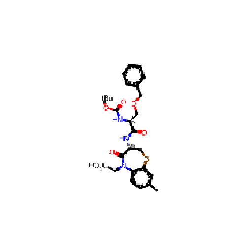 Cc1ccc2c(c1)SC[C@@H](NC(=O)[C@H](COCc1ccccc1)NC(=O)OC(C)(C)C)C(=O)N2CC(=O)O